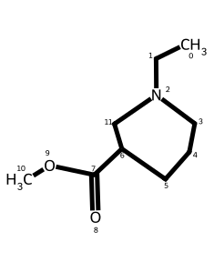 CCN1CCCC(C(=O)OC)C1